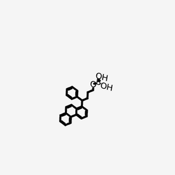 OB(O)OCCCC(c1ccccc1)c1cccc2c1ccc1ccccc12